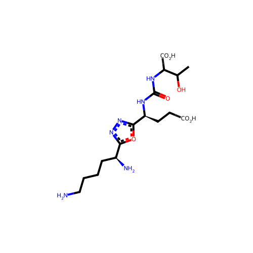 CC(O)C(NC(=O)N[C@@H](CCC(=O)O)c1nnc([C@@H](N)CCCCN)o1)C(=O)O